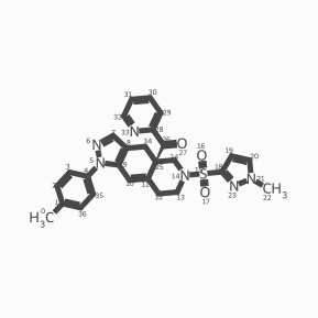 Cc1ccc(-n2ncc3c2C=C2CCN(S(=O)(=O)c4ccn(C)n4)C[C@@]2(C(=O)c2ccccn2)C3)cc1